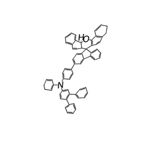 C1=CC(N(c2ccc(-c3ccc4c(c3)-c3ccccc3C43c4ccc5c(c4O[C@@H]4c6ccccc6C=CC43)C=CCC5)cc2)c2ccc(-c3ccccc3)c(-c3ccccc3)c2)=CCC1